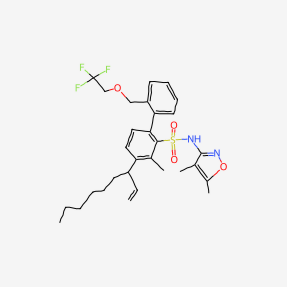 C=CC(CCCCCC)c1ccc(-c2ccccc2COCC(F)(F)F)c(S(=O)(=O)Nc2noc(C)c2C)c1C